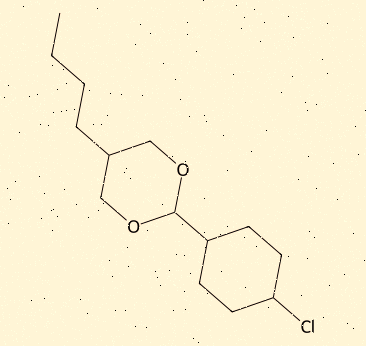 CCCCC1COC(C2CCC(Cl)CC2)OC1